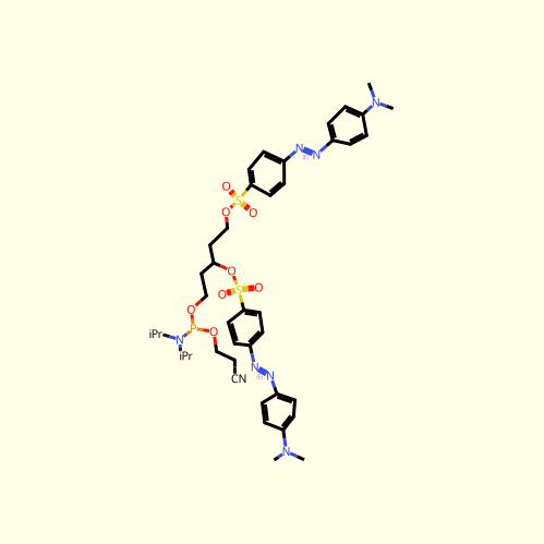 CC(C)N(C(C)C)P(OCCC#N)OCCC(CCOS(=O)(=O)c1ccc(/N=N/c2ccc(N(C)C)cc2)cc1)OS(=O)(=O)c1ccc(/N=N/c2ccc(N(C)C)cc2)cc1